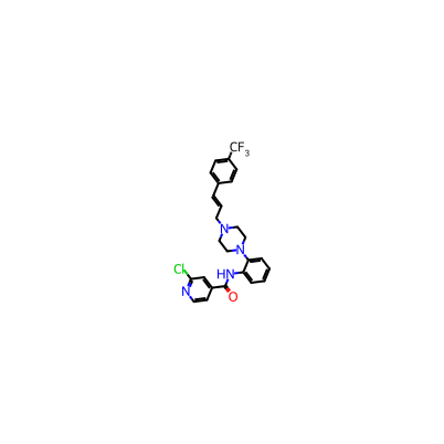 O=C(Nc1ccccc1N1CCN(C/C=C/c2ccc(C(F)(F)F)cc2)CC1)c1ccnc(Cl)c1